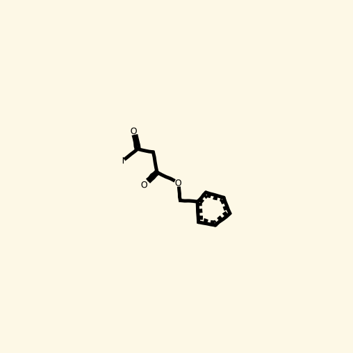 O=C(I)CC(=O)OCc1ccccc1